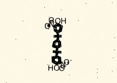 CC(C)(c1ccc(C(C)(C)c2ccc(O)c([N+](=O)[O-])c2)cc1)c1ccc(O)c([N+](=O)[O-])c1